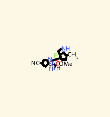 [2H]C([2H])([2H])OC(F)(c1nc2cc(C#N)ccc2[nH]1)c1c(OC)cc(C)c2[nH]ccc12